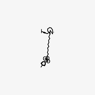 Cc1ccc(S(=O)(=O)OCCCCCCCCCCCCC2(CC#CI)CCCCC[N]2)cc1